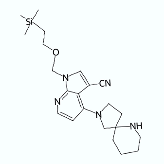 C[Si](C)(C)CCOCn1cc(C#N)c2c(N3CCC4(CCCCN4)C3)ccnc21